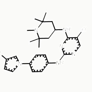 CN1C(C)(C)CC(Nc2nc(Nc3ccc(-n4ccc(C#N)c4)cc3)ncc2Cl)CC1(C)C